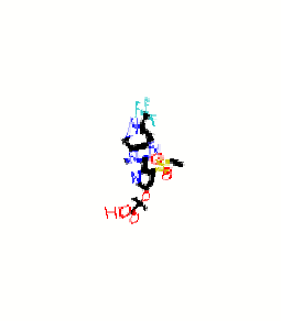 CCS(=O)(=O)c1cc(OC(C)(C)C(=O)O)cnc1-c1nc2cc(C(F)(F)F)ncc2n1C